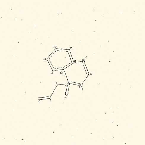 C=CCS1(=O)=NC=Nc2ccccc21